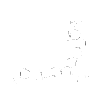 CC(C)NC(=O)/N=[SH](=O)\c1cccc(Nc2ncc(-c3ccc(NC(=O)Nc4cccc(C(F)(F)F)c4)cc3)c(NC(C)CO)n2)c1